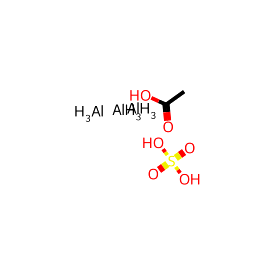 CC(=O)O.O=S(=O)(O)O.[AlH3].[AlH3].[AlH3]